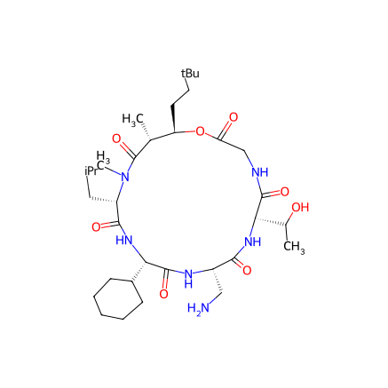 CC(C)C[C@H]1C(=O)N[C@@H](C2CCCCC2)C(=O)N[C@@H](CN)C(=O)N[C@@H](C(C)O)C(=O)NCC(=O)O[C@H](CCC(C)(C)C)[C@@H](C)C(=O)N1C